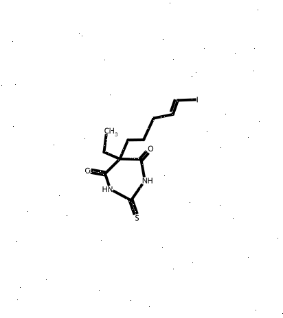 CCC1(CCCC=CI)C(=O)NC(=S)NC1=O